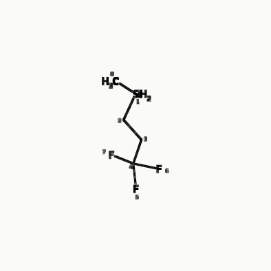 C[SiH2]CCC(F)(F)F